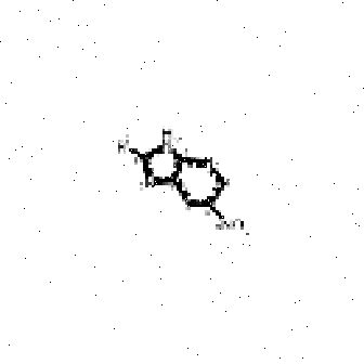 CC(C)c1nc2cc([N+](=O)[O-])cnc2[nH]1